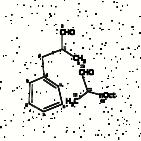 CC(C=O)Cc1ccccc1.CCCCCCCCC(C)C=O